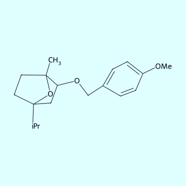 COc1ccc(COC2CC3(C(C)C)CCC2(C)O3)cc1